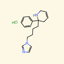 C1=CCC(CCCCn2ccnc2)(c2ccccc2)NC1.Cl